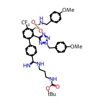 COc1ccc(CNS(=O)(=O)c2c(C(F)(F)F)ccc(-c3ccc(C(=N)NCCCNC(=O)OC(C)(C)C)cc3)c2-c2nnn(Cc3ccc(OC)cc3)n2)cc1